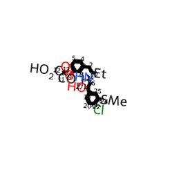 CCC(Cc1ccc2c(c1)OC(C(=O)O)(C(=O)O)O2)NCC(O)c1ccc(Cl)c(SC)c1